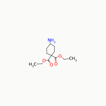 CCOC(=O)C1(C(=O)OCC)CCC(N)CC1